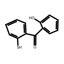 O=C(c1ccccc1O)c1ccccc1S